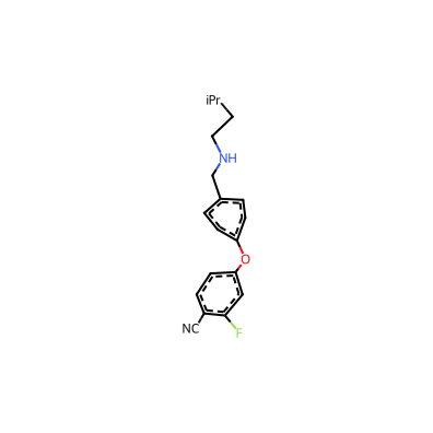 CC(C)CCNCc1ccc(Oc2ccc(C#N)c(F)c2)cc1